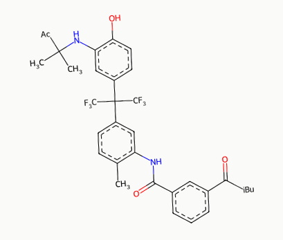 CCC(C)C(=O)c1cccc(C(=O)Nc2cc(C(c3ccc(O)c(NC(C)(C)C(C)=O)c3)(C(F)(F)F)C(F)(F)F)ccc2C)c1